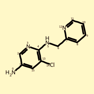 Nc1cnc(NCc2ccccn2)c(Cl)c1